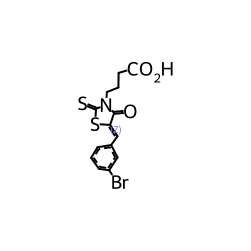 O=C(O)CCCN1C(=O)/C(=C/c2cccc(Br)c2)SC1=S